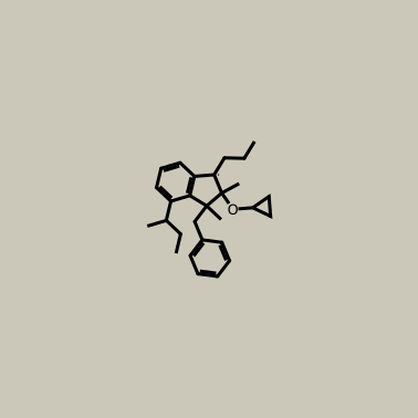 CCC[C]1c2cccc(C(C)CC)c2C(C)(Cc2ccccc2)C1(C)OC1CC1